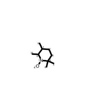 CC1CCC(C)(C)N([O])C1C